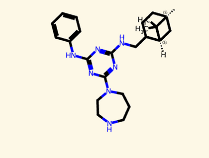 CC1(C)[C@H]2CCC(CNc3nc(Nc4ccccc4)nc(N4CCCNCC4)n3)[C@@H]1C2